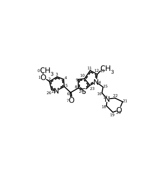 COc1ccc(C(=O)c2cc3cc(C)n(CCN4CCOCC4)c3s2)nc1